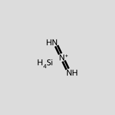 N=[N+]=N.[SiH4]